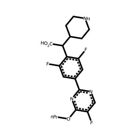 CCCOc1nc(-c2cc(F)c(C(C(=O)O)C3CCNCC3)c(F)c2)ncc1F